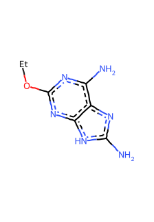 CCOc1nc(N)c2nc(N)[nH]c2n1